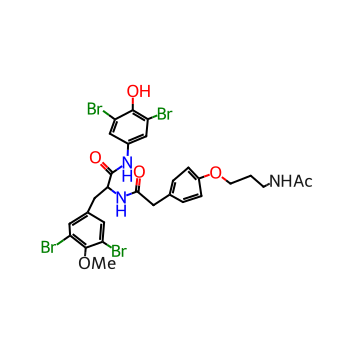 COc1c(Br)cc(CC(NC(=O)Cc2ccc(OCCCNC(C)=O)cc2)C(=O)Nc2cc(Br)c(O)c(Br)c2)cc1Br